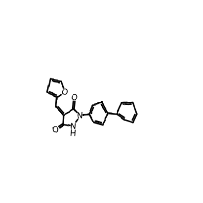 O=C1NN(c2ccc(-c3ccccc3)cc2)C(=O)C1=Cc1ccco1